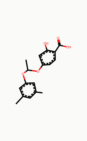 Cc1cc(C)cc(OC(C)Oc2ccc(C(=O)O)c(O)c2)c1